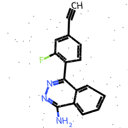 C#Cc1ccc(-c2nnc(N)c3ccccc23)c(F)c1